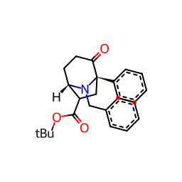 CC(C)(C)OC(=O)C1C[C@@]2(c3ccccc3)C(=O)CC[C@@H]1N2Cc1ccccc1